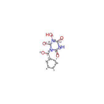 O=C(c1ccccc1)n1c(=O)[nH]c(=O)n(O)c1=O